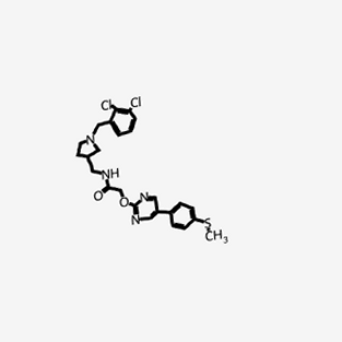 CSc1ccc(-c2cnc(OCC(=O)NCC3CCN(Cc4cccc(Cl)c4Cl)C3)nc2)cc1